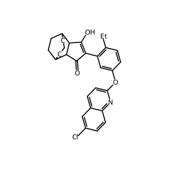 CCc1ccc(Oc2ccc3cc(Cl)ccc3n2)cc1C1=C(O)C2C3CCCC(CC3)C2C1=O